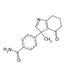 CC1(c2ccc(C(N)=O)cc2)C=NC2=C1C(=O)CCC2